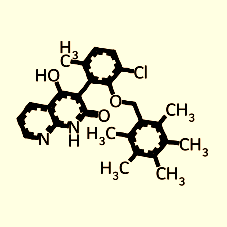 Cc1ccc(Cl)c(OCc2c(C)c(C)c(C)c(C)c2C)c1-c1c(O)c2cccnc2[nH]c1=O